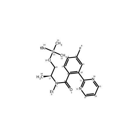 CCN(C(=O)c1ccc(F)cc1-c1ncccn1)[C@@H](C)CO[Si](C)(C)C(C)(C)C